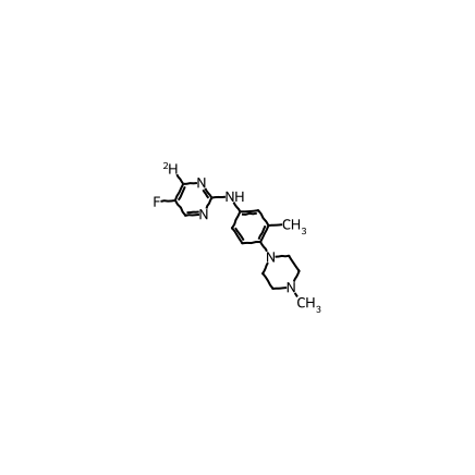 [2H]c1nc(Nc2ccc(N3CCN(C)CC3)c(C)c2)ncc1F